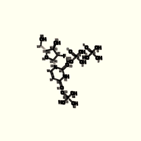 O=P(O)(O)O.O=P(O)(O)O.O=P(O)(O)O.O=c1ccn([C@@H]2O[C@H](CO)[C@@H](O)C2F)c(=O)[nH]1